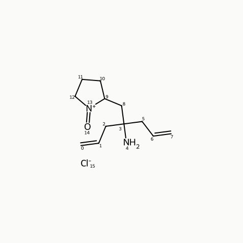 C=CCC(N)(CC=C)CC1CCC[N+]1=O.[Cl-]